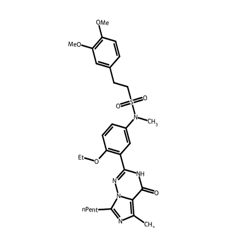 CCCCCc1nc(C)c2c(=O)[nH]c(-c3cc(N(C)S(=O)(=O)CCc4ccc(OC)c(OC)c4)ccc3OCC)nn12